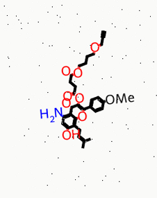 C#CCOCCCCOC(=O)CCC(=O)Oc1c(-c2ccc(OC)cc2)oc2c(CC=C(C)C)c(O)cc(N)c2c1=O